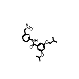 CC(C)COc1cc(OC(C)C)cc(C(=O)NC2=NC(C[S+](C)[O-])=CCC2)c1